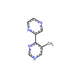 Cc1cncnc1-c1cnccn1